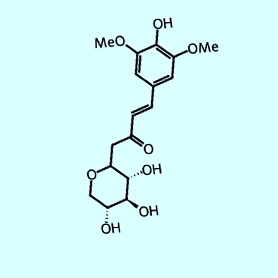 COc1cc(C=CC(=O)CC2OC[C@@H](O)[C@H](O)[C@H]2O)cc(OC)c1O